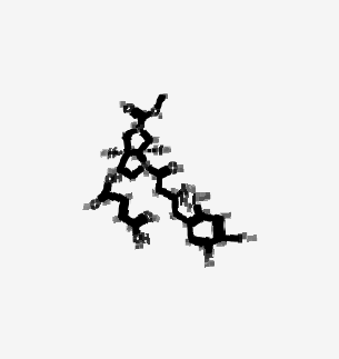 COC(=O)N1C[C@@H]2CCN(C(=O)C[C@H](N)Cc3cc(F)c(F)cc3F)[C@@H]2C1.O=C(O)/C=C/C(=O)O